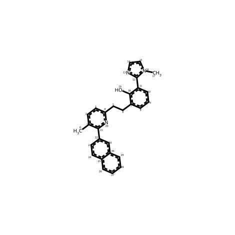 Cc1ccc(CCc2cccc(-c3nccn3C)c2O)nc1-c1ccc2ccccc2c1